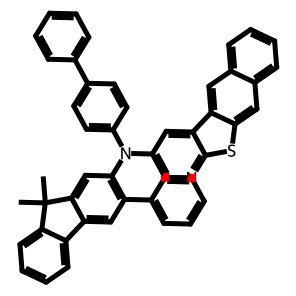 CC1(C)c2ccccc2-c2cc(-c3ccccc3)c(N(c3ccc(-c4ccccc4)cc3)c3cnc4sc5cc6ccccc6cc5c4c3)cc21